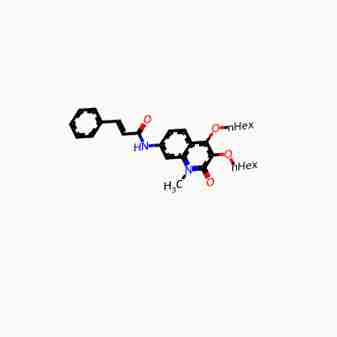 CCCCCCOc1c(OCCCCCC)c2ccc(NC(=O)/C=C/c3ccccc3)cc2n(C)c1=O